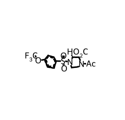 CC(=O)N1CCN(S(=O)(=O)c2ccc(OC(F)(F)F)cc2)[C@@H](C(=O)O)C1